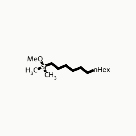 CCCCCCCCCCCC[Si](C)(C)OC